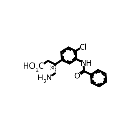 NC[C@H](CC(=O)O)c1ccc(Cl)c(NC(=O)c2ccccc2)c1